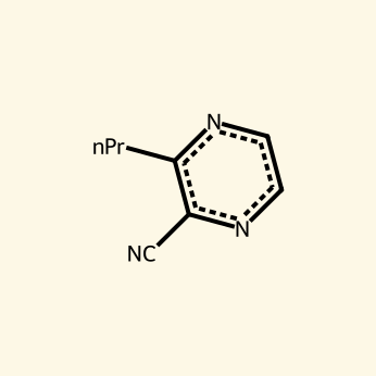 CCCc1nccnc1C#N